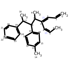 C=C/C=C(\C=C/C)C(C)C(c1ccc(C)cc1)C(C)c1ccncc1